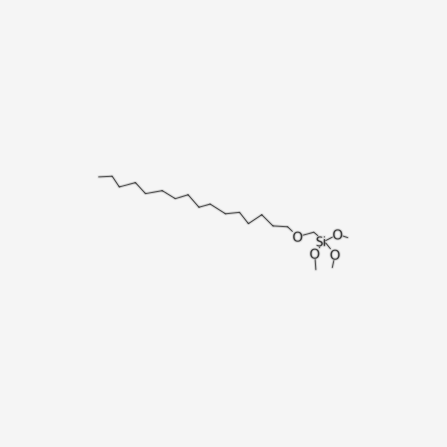 CCCCCCCCCCCCCCCCOC[Si](OC)(OC)OC